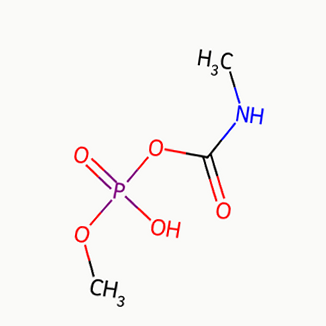 CNC(=O)OP(=O)(O)OC